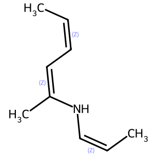 C/C=C\C=C(\C)N/C=C\C